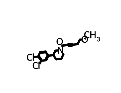 COCCC#CC(=O)N1CCCC(c2ccc(Cl)c(Cl)c2)C1